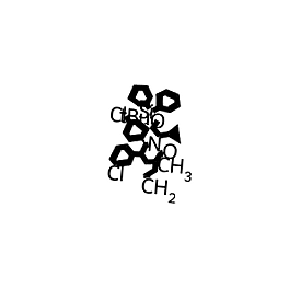 C=CCC1(C)CC(c2cccc(Cl)c2)[C@@H](c2ccc(Cl)cc2)N(C(CO[Si](c2ccccc2)(c2ccccc2)C(C)(C)C)C2CC2)C1=O